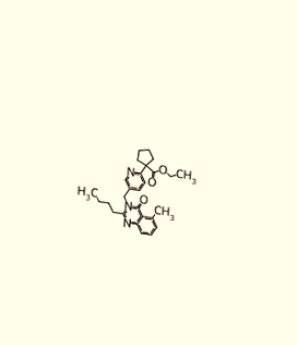 CCCCc1nc2cccc(C)c2c(=O)n1Cc1ccc(C2(C(=O)OCC)CCCC2)nc1